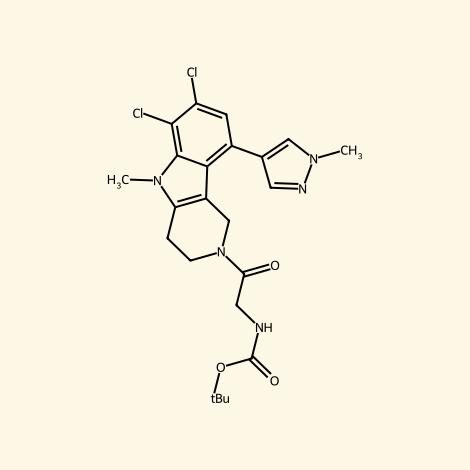 Cn1cc(-c2cc(Cl)c(Cl)c3c2c2c(n3C)CCN(C(=O)CNC(=O)OC(C)(C)C)C2)cn1